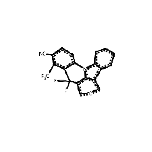 N#Cc1ccc2c(c1C(F)(F)F)C(F)(F)c1cccc3c4ccccc4n-2c13